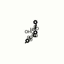 Cc1ccc(S(=O)(=O)OC[C@H]2COc3ccc(NC(=O)OCc4ccccc4)c(C=O)c3O2)cc1